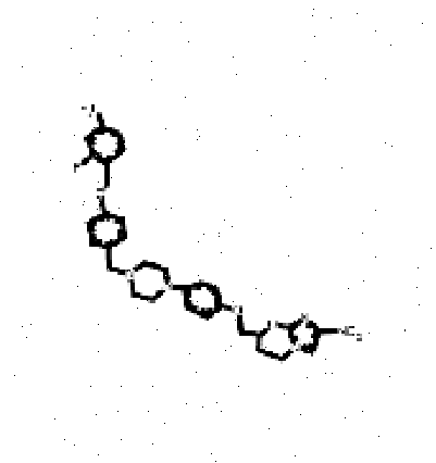 O=[N+]([O-])c1cn2c(n1)OC(COc1ccc(N3CCN(Cc4ccc(OCc5ccc(C(F)(F)F)cc5F)cc4)CC3)cc1)CC2